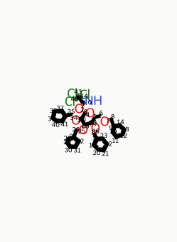 N=C(OC1OC(COCc2ccccc2)[C@@H](OCc2ccccc2)[C@H](OCc2ccccc2)[C@@H]1OCc1ccccc1)C(Cl)(Cl)Cl